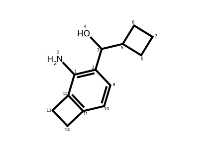 Nc1c(C(O)C2CCC2)ccc2c1CC2